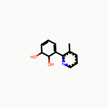 Cc1cccnc1C1=CC=CC(O)C1O